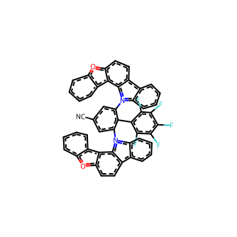 N#Cc1cc(-n2c3ccccc3c3ccc4oc5ccccc5c4c32)c(-c2c(F)c(F)c(F)c(F)c2F)c(-n2c3ccccc3c3ccc4oc5ccccc5c4c32)c1